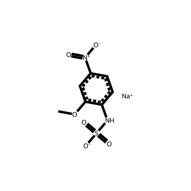 COc1cc([N+](=O)[O-])ccc1NS(=O)(=O)[O-].[Na+]